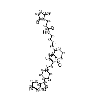 Cc1nc2n(c(=O)c1CCN1CCC(c3noc4c3CCC(F)=C4)CC1)CCCC2OCCCNC(=O)CCN1C(=O)C=CC1=O